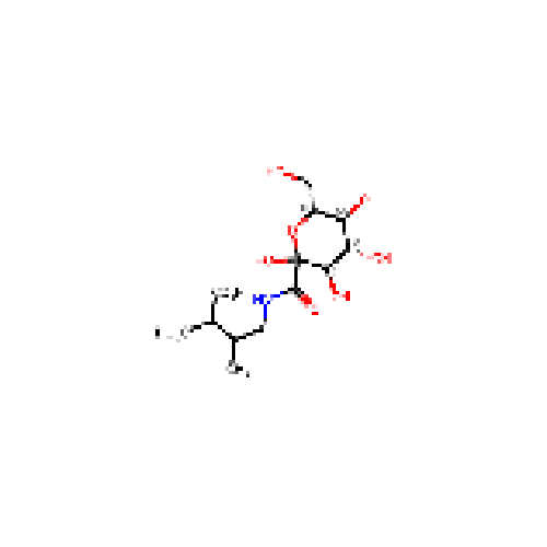 CC(CNC(=O)C1(O)O[C@H](CO)[C@@H](O)[C@H](O)[C@H]1O)C(C(=O)O)C(=O)O